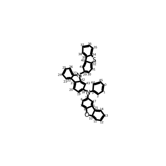 c1ccc(N(c2ccc3oc4ccccc4c3c2)c2ccc3c4ccccc4n(-c4ccc5sc6ccccc6c5c4)c3c2)cc1